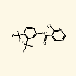 O=C(Nc1ccc(C(F)(F)F)c(C(F)(F)F)c1)c1cccnc1Cl